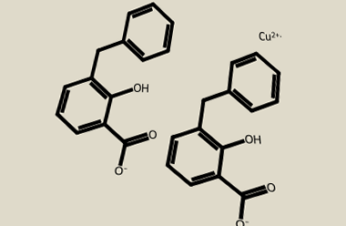 O=C([O-])c1cccc(Cc2ccccc2)c1O.O=C([O-])c1cccc(Cc2ccccc2)c1O.[Cu+2]